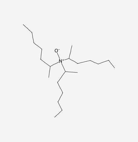 CCCCCC(C)[N+]([O-])(C(C)CCCCC)C(C)CCCCC